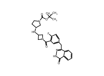 CC(C)(C)OC(=O)N1CC[C@H](NC2CN(C(=O)c3cc(Cc4n[nH]c(=O)c5ccccc45)ccc3F)C2)C1